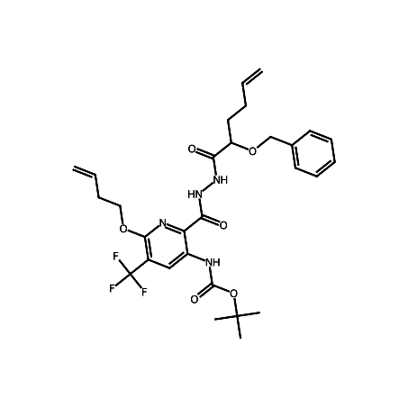 C=CCCOc1nc(C(=O)NNC(=O)C(CCC=C)OCc2ccccc2)c(NC(=O)OC(C)(C)C)cc1C(F)(F)F